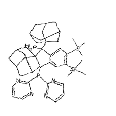 C[Si](C)(C)c1cc(CP(c2ncccn2)c2ncccn2)c(C(P)(C23CC4CC(CC(C4)C2)C3)C23CC4CC(CC(C4)C2)C3)cc1[Si](C)(C)C